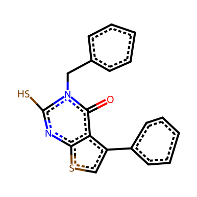 O=c1c2c(-c3ccccc3)csc2nc(S)n1Cc1ccccc1